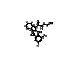 Cn1c(Nc2ccc(I)cc2F)c(C(=O)NCCO)c2cccnc21